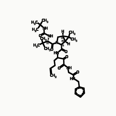 C=CCCC(NC(=O)[C@@H]1[C@@H]2[C@H](CN1C(=O)[C@@H](NC(=O)NC(C)(C)C)C(C)(C)C)C2(C)C)C(=O)C(=O)NCC(=O)NCc1ccccc1